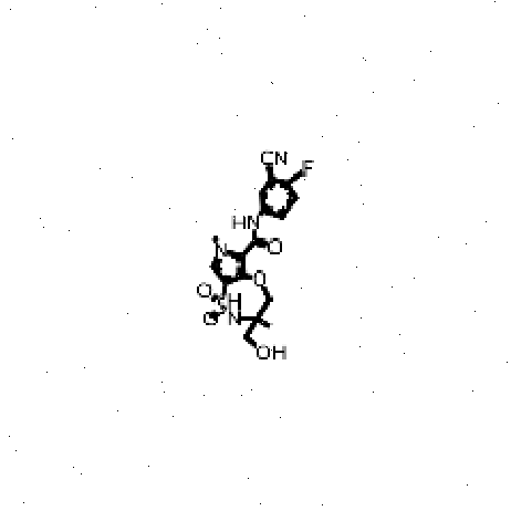 Cn1cc2c(c1C(=O)Nc1ccc(F)c(C#N)c1)OCC(C)(CO)NS2(=O)=O